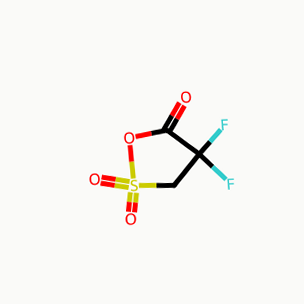 O=C1OS(=O)(=O)CC1(F)F